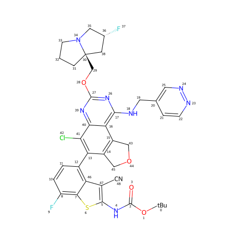 CC(C)(C)OC(=O)Nc1sc2c(F)ccc(-c3c4c(c5c(NCc6ccnnc6)nc(OC[C@@]67CCCN6C[C@H](F)C7)nc5c3Cl)COC4)c2c1C#N